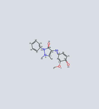 COC1=C/C(=N\c2c(C)n(C)n(-c3ccccc3)c2=O)C=CC1=O